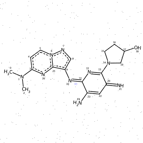 CN(C)c1ccn2ncc(/N=C3\N=C(N4CCC(O)C4)C(=N)C=C3N)c2n1